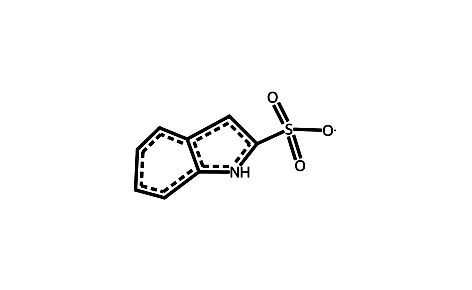 [O]S(=O)(=O)c1cc2ccccc2[nH]1